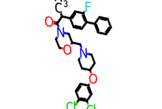 CC(C(=O)N1CCOC(CN2CCC(Oc3ccc(Cl)c(Cl)c3)CC2)C1)c1ccc(-c2ccccc2)c(F)c1